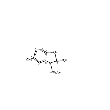 CC(=O)NC1C(=O)Oc2ccc(Cl)cc21